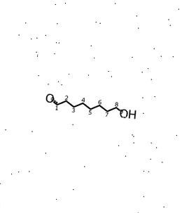 O=CCCCCCCCO